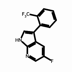 Fc1cnc2[nH]cc(-c3ccccc3C(F)(F)F)c2c1